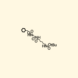 CC(C)(C)OC(=O)NCCCCCC(=O)NC(=O)CNC(=O)OCc1ccccc1